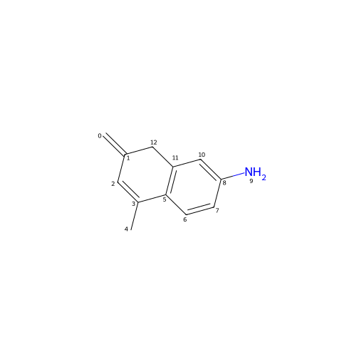 C=C1C=C(C)c2ccc(N)cc2C1